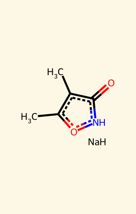 Cc1o[nH]c(=O)c1C.[NaH]